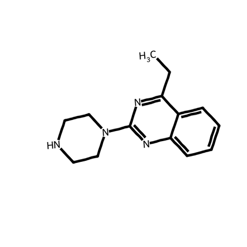 CCc1nc(N2CCNCC2)nc2ccccc12